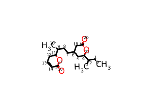 CCC(C)C1CC(CCC(C)C2CC=CC(=O)O2)CC(=O)O1